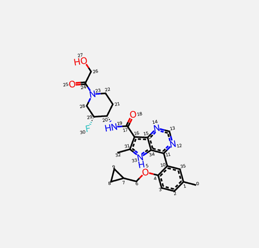 Cc1ccc(OCC2CC2)c(-c2ncnc3c(C(=O)N[C@H]4CCN(C(=O)CO)C[C@H]4F)c(C)[nH]c23)c1